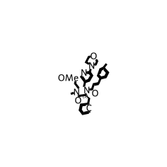 COCCN(C)C(=O)[C@H](Cc1ccccc1)N(Cc1ccc(N2CCOCC2)nc1)C(=O)C=Cc1ccc(C)cc1